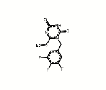 CCSc1nc(=O)[nH]c(=O)n1Cc1cc(F)c(F)c(F)c1